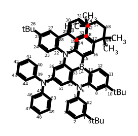 CC(C)(C)c1cccc(N2c3cc(C(C)(C)C)ccc3B3c4cc5c(cc4N(c4ccc(C(C)(C)C)cc4-c4ccccc4)c4cc(N(c6ccccc6)c6ccccc6)cc2c43)C(C)(C)CCC5(C)C)c1